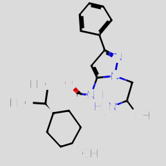 CC(N)Cn1nc(-c2ccccc2)cc1NC(=O)[C@@H]1C[C@H](C)CC[C@H]1C(C)C